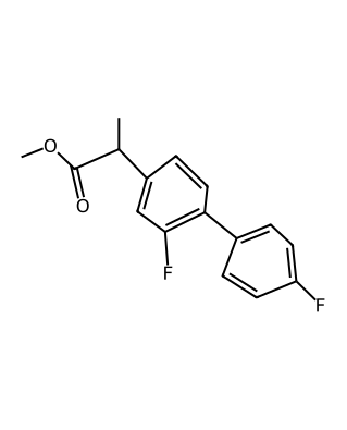 COC(=O)C(C)c1ccc(-c2ccc(F)cc2)c(F)c1